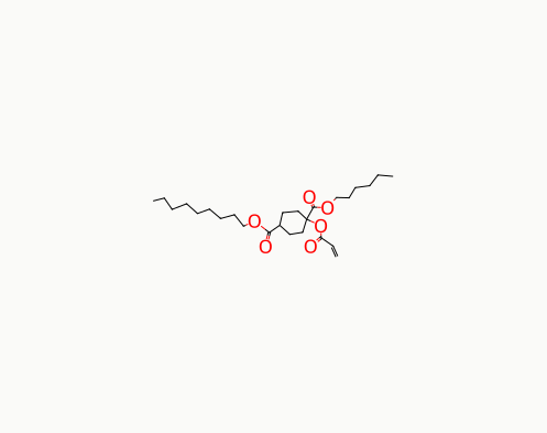 C=CC(=O)OC1(C(=O)OCCCCCC)CCC(C(=O)OCCCCCCCCC)CC1